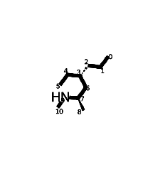 CCC[C@@H](CC)C[C@@H](C)NC